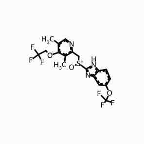 Cc1cnc(C[S+]([O-])c2nc3cc(OC(F)(F)F)ccc3[nH]2)c(C)c1OCC(F)(F)F